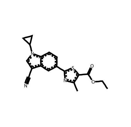 CCOC(=O)c1sc(-c2ccc3c(c2)c(C#N)cn3C2CC2)nc1C